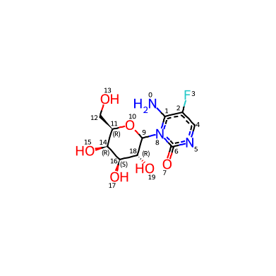 Nc1c(F)cnc(=O)n1C1O[C@H](CO)[C@H](O)[C@H](O)[C@H]1O